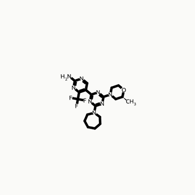 C[C@@H]1CN(c2nc(-c3cnc(N)nc3C(F)(F)F)nc(N3CCCCCC3)n2)CCO1